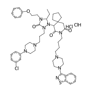 CCC1N(CCOc2ccccc2)C(=O)N(CCCN2CCN(c3cccc(Cl)c3)CC2)N1C1C(=O)N(CCCCN2CCN(c3nsc4ccccc34)CC2)C(=O)CC12CCCC2.Cl.Cl